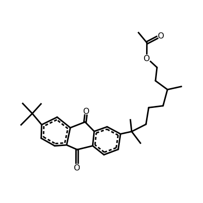 CC(=O)OCCC(C)CCCC(C)(C)c1ccc2c(c1)C(=O)c1cc(C(C)(C)C)ccc1C2=O